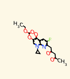 CCOC(=O)Oc1cn(C2CC2)c2nc(CC(=O)CC(C)=O)c(F)cc2c1=O